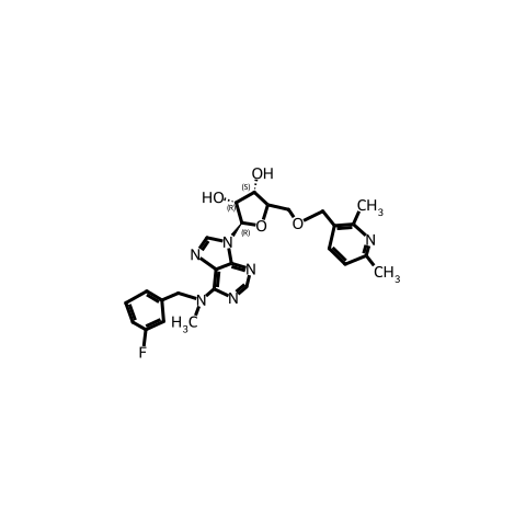 Cc1ccc(COCC2O[C@@H](n3cnc4c(N(C)Cc5cccc(F)c5)ncnc43)[C@H](O)[C@@H]2O)c(C)n1